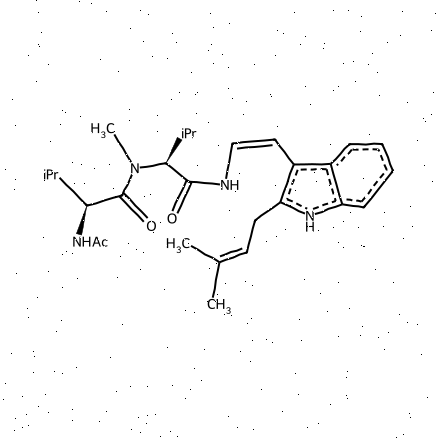 CC(=O)N[C@H](C(=O)N(C)[C@H](C(=O)N/C=C\c1c(CC=C(C)C)[nH]c2ccccc12)C(C)C)C(C)C